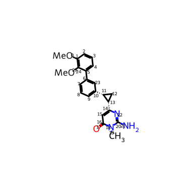 COc1cccc(-c2cccc([C@@H]3C[C@@H]3c3cc(=O)n(C)c(N)n3)c2)c1OC